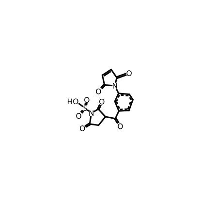 O=C(c1cccc(N2C(=O)C=CC2=O)c1)C1CC(=O)N(S(=O)(=O)O)C1=O